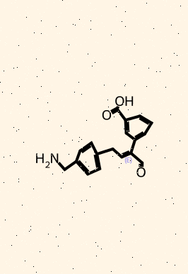 NCc1ccc(C/C=C(/C=O)c2cccc(C(=O)O)c2)cc1